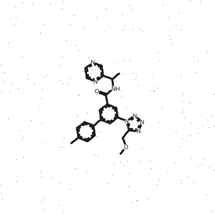 COCc1nnnn1-c1cc(C(=O)NC(C)c2cnccn2)cc(-c2ccc(C)cc2)c1